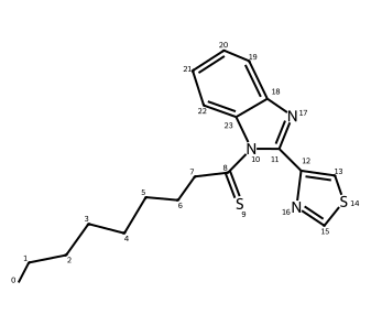 CCCCCCCCC(=S)n1c(-c2cscn2)nc2ccccc21